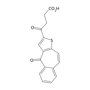 O=C(O)CCC(=O)c1cc2c(=O)c3ccccc3ccc2s1